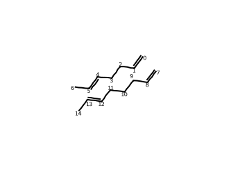 C=CCCC=CC.C=CCCCC=CC